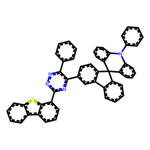 c1ccc(-c2nnc(-c3cccc4c3sc3ccccc34)nc2-c2ccc3c(c2)-c2ccccc2C32c3ccccc3N(c3ccccc3)c3ccccc32)cc1